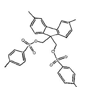 Cc1ccc(S(=O)(=O)OCC2(COS(=O)(=O)c3ccc(C)cc3)c3ccc(C)cc3-c3cc(C)ccc32)cc1